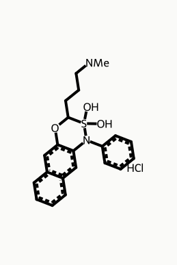 CNCCCC1Oc2cc3ccccc3cc2N(c2ccccc2)S1(O)O.Cl